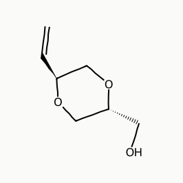 C=C[C@H]1CO[C@H](CO)CO1